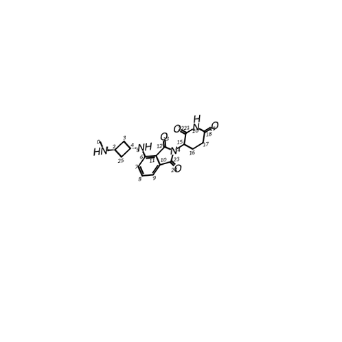 CN[C@H]1C[C@H](Nc2cccc3c2C(=O)N(C2CCC(=O)NC2=O)C3=O)C1